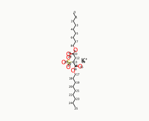 CCCCCCCCCOC(=O)CC(C(=O)OCCCCCCCCC)S(=O)(=O)[O-].[K+]